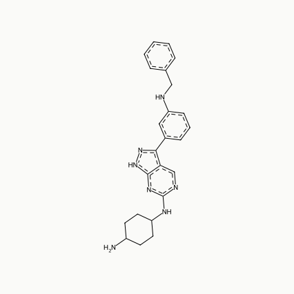 NC1CCC(Nc2ncc3c(-c4cccc(NCc5ccccc5)c4)n[nH]c3n2)CC1